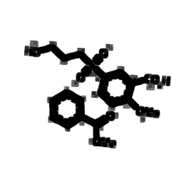 COC(=O)c1ccccc1.COc1ccc(S(=O)(=O)CCCO)cc1C(=O)O